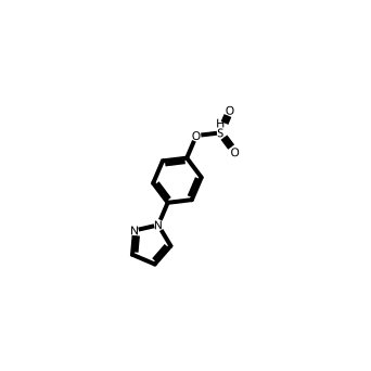 O=[SH](=O)Oc1ccc(-n2cccn2)cc1